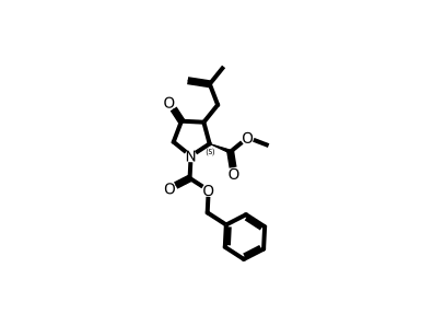 C=C(C)CC1C(=O)CN(C(=O)OCc2ccccc2)[C@@H]1C(=O)OC